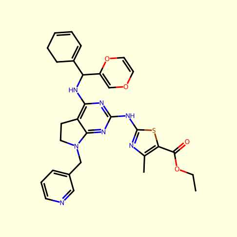 CCOC(=O)c1sc(Nc2nc(NC(C3=CC=CCC3)C3=COC=CO3)c3c(n2)N(Cc2cccnc2)CC3)nc1C